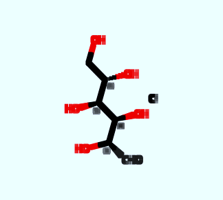 O=C[C@@H](O)[C@H](O)[C@@H](O)[C@@H](O)CO.[C]